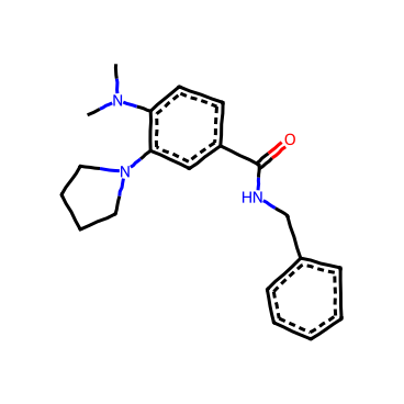 CN(C)c1ccc(C(=O)NCc2ccccc2)cc1N1CCCC1